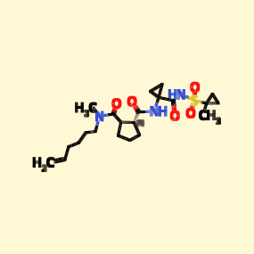 C=CCCCCN(C)C(=O)C1CCC[C@H]1C(=O)NC1(C(=O)NS(=O)(=O)C2(C)CC2)CC1